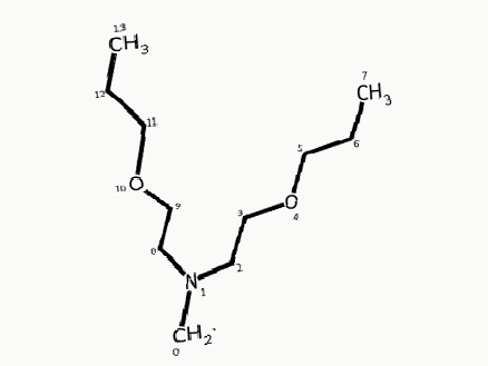 [CH2]N(CCOCCC)CCOCCC